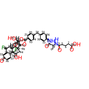 C[C@H](NC(=O)CCCC(=O)O)C(=O)Nc1ccc(Cc2ccc([C@@H]3O[C@@H]4CC5[C@@H]6C[C@H](F)C7=CC(=O)C=C[C@]7(C)[C@@]6(F)[C@@H](O)C[C@]5(C)[C@]4(C(=O)CO)O3)cc2)cc1